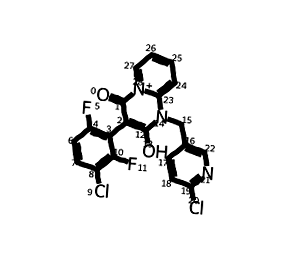 O=c1c(-c2c(F)ccc(Cl)c2F)c(O)n(Cc2ccc(Cl)nc2)c2cccc[n+]12